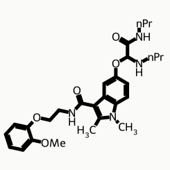 CCCNC(=O)C(NCCC)Oc1ccc2c(c1)c(C(=O)NCCOc1ccccc1OC)c(C)n2C